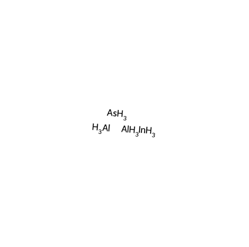 [AlH3].[AlH3].[AsH3].[InH3]